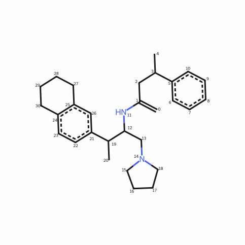 C=C(CC(C)c1ccccc1)NC(CN1CCCC1)C(C)c1ccc2c(c1)CCCC2